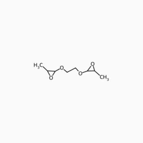 CC1OC1OCCOC1OC1C